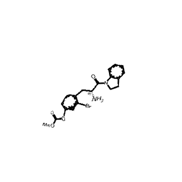 COC(=O)Oc1ccc(C[C@@H](N)C(=O)N2CCc3ccccc32)c(Br)c1